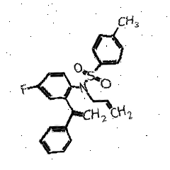 C=CCN(c1ccc(F)cc1C(=C)c1ccccc1)S(=O)(=O)c1ccc(C)cc1